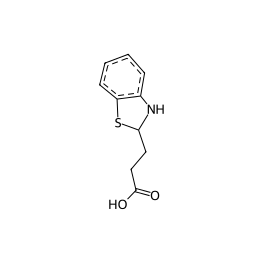 O=C(O)CCC1Nc2ccccc2S1